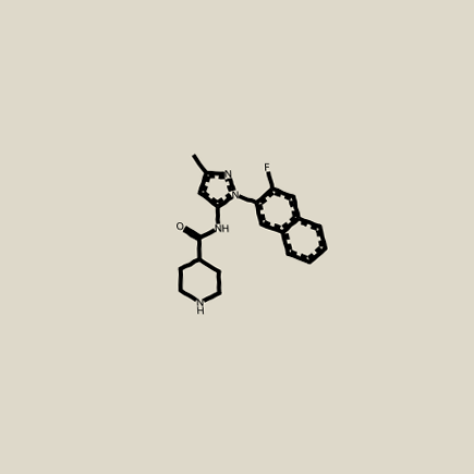 Cc1cc(NC(=O)C2CCNCC2)n(-c2cc3ccccc3cc2F)n1